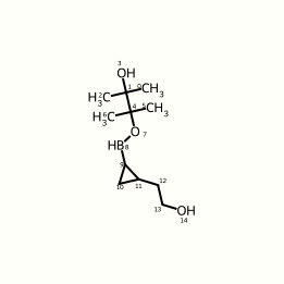 CC(C)(O)C(C)(C)OBC1CC1CCO